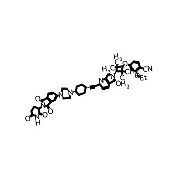 CCOc1cc(O[C@H]2C(C)(C)[C@H](N3Cc4nc(C#C[C@H]5CC[C@H](N6CCN(c7ccc8c(c7)C(=O)N(C7CCC(=O)NC7=O)C8=O)CC6)CC5)ccc4C3=O)C2(C)C)ccc1C#N